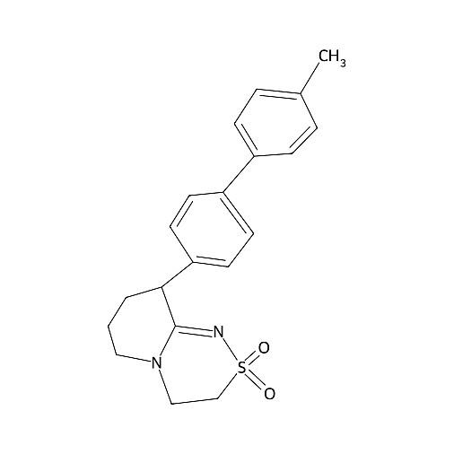 Cc1ccc(-c2ccc(C3CCCN4CCS(=O)(=O)N=C34)cc2)cc1